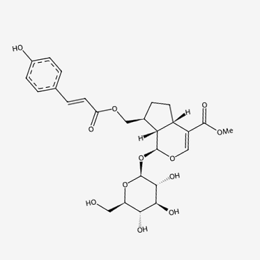 COC(=O)C1=CO[C@@H](O[C@@H]2O[C@H](CO)[C@@H](O)[C@H](O)[C@H]2O)[C@@H]2[C@@H](COC(=O)/C=C/c3ccc(O)cc3)CC[C@H]12